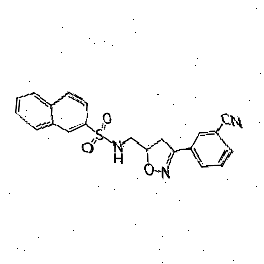 N#Cc1cccc(C2=NOC(CNS(=O)(=O)c3ccc4ccccc4c3)C2)c1